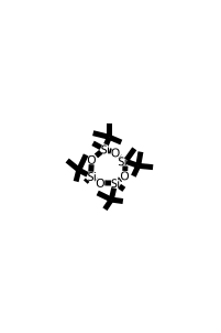 CC(C)(C)[Si]1(C)O[Si](C)(C(C)(C)C)O[Si](C)(C(C)(C)C)O[Si](C)(C(C)(C)C)O1